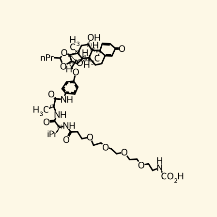 CCCC1O[C@@H]2C[C@H]3[C@@H]4CCC5=CC(=O)C=C[C@]5(C)[C@H]4[C@@H](O)C[C@]3(C)[C@]2(C(=O)COc2ccc(NC(=O)[C@H](C)NC(=O)[C@@H](NC(=O)CCOCCOCCOCCOCCNC(=O)O)C(C)C)cc2)O1